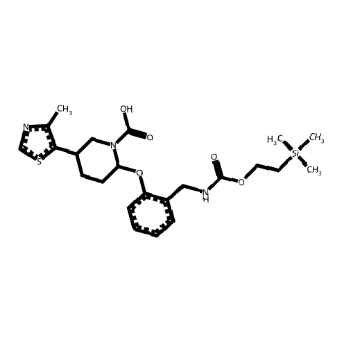 Cc1ncsc1C1CCC(Oc2ccccc2CNC(=O)OCC[Si](C)(C)C)N(C(=O)O)C1